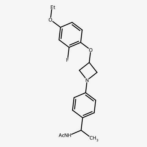 CCOc1ccc(OC2CN(c3ccc(C(C)NC(C)=O)cc3)C2)c(F)c1